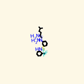 CC(C)CC/C(N)=C/N(N)c1cccc(SNc2ccccc2C(F)(F)F)c1